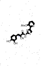 COc1cccnc1-c1csc(NC(=O)/C(C#N)=C/c2ccc(O)c(O)c2)n1